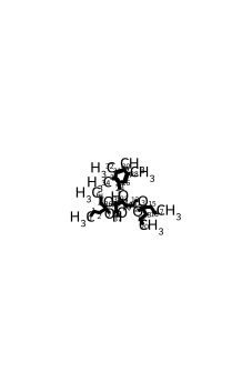 CCCC1(CCC)O[C@H]2O[C@H]([C@H]3COC(CCC)(CCC)O3)[C@H](OCc3cc(C)c(C)c(C)c3C)[C@H]2O1